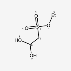 CCOS(=O)(=O)CC(O)O